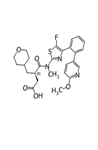 COc1ccc(-c2ccccc2-c2nc(N(C)C(=O)[C@@H](CC(=O)O)CC3CCOCC3)sc2F)cn1